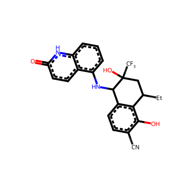 CCC1CC(O)(C(F)(F)F)C(Nc2cccc3[nH]c(=O)ccc23)c2ccc(C#N)c(O)c21